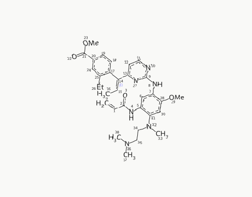 C=CC(=O)Nc1cc(Nc2nccc(/C(=C/C)c3ccc(C(=O)OC)cc3CC)n2)c(OC)cc1N(C)CCN(C)C